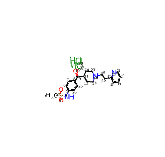 CS(=O)(=O)Nc1ccc(C(=O)C2CCN(CCc3ccccn3)CC2)cc1.Cl.Cl